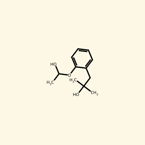 CC(O)Oc1ccccc1CC(C)(C)O